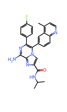 Cc1ccnc2ccc(-c3c(-c4ccc(F)cc4)nc(N)c4nc(C(=O)NC(C)C)cn34)cc12